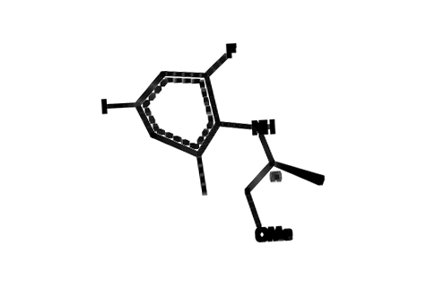 COC[C@H](C)Nc1c(C)cc(I)cc1F